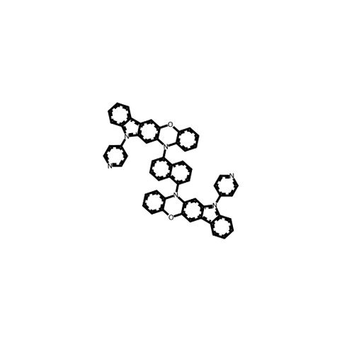 c1ccc2c(c1)Oc1cc3c4ccccc4n(-c4ccncc4)c3cc1N2c1cccc2c(N3c4ccccc4Oc4cc5c6ccccc6n(-c6ccncc6)c5cc43)cccc12